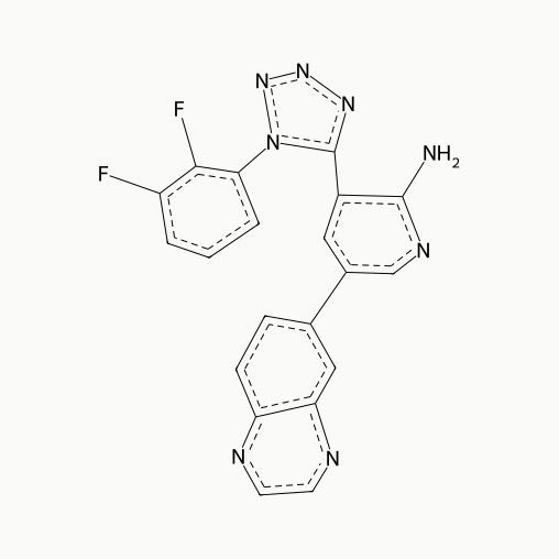 Nc1ncc(-c2ccc3nccnc3c2)cc1-c1nnnn1-c1cccc(F)c1F